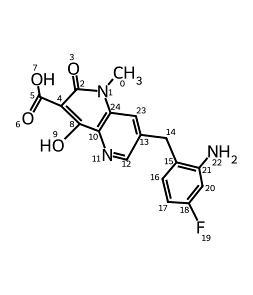 Cn1c(=O)c(C(=O)O)c(O)c2ncc(Cc3ccc(F)cc3N)cc21